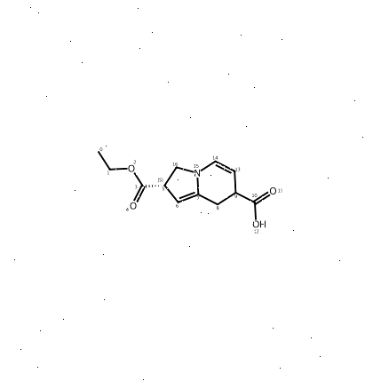 CCOC(=O)[C@H]1C=C2CC(C(=O)O)C=CN2C1